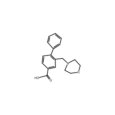 O=C(O)c1ccc(-c2ccccc2)c(CN2CCOCC2)c1